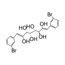 OC(=Cc1cccc(Br)c1)[C@@H](O)[C@@H](O)[C@H](O)[C@@H](O)C(O)=Cc1cccc(Br)c1